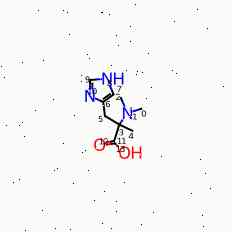 CN(C)C(C)(Cc1c[nH]cn1)C(=O)O